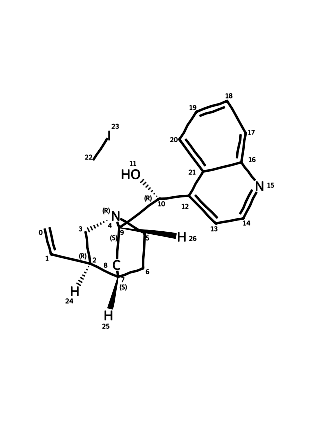 C=C[C@H]1C[N@]2CC[C@H]1C[C@H]2[C@H](O)c1ccnc2ccccc12.CI